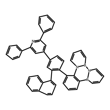 C1=CB2c3cccc(-c4ccc(-c5cc(-c6ccccc6)nc(-c6ccccc6)c5)cc4-c4cccc5ccccc45)c3N3C=CC=CB3N2C=C1